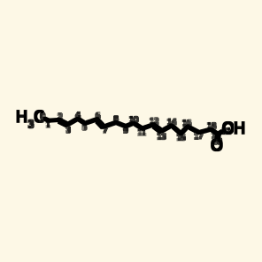 CC/C=C/CC/C=C/CCCC/C=C/CCCCCC(=O)O